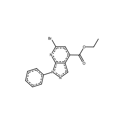 CCOC(=O)c1cc(Br)nc2c1cnn2-c1ccccc1